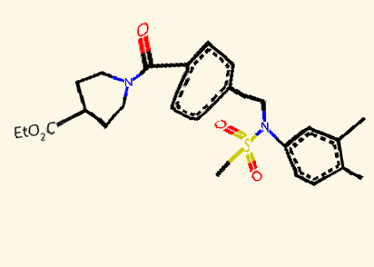 CCOC(=O)C1CCN(C(=O)c2ccc(CN(c3ccc(C)c(C)c3)S(C)(=O)=O)cc2)CC1